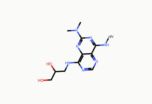 CCCNc1nc(N(C)C)nc2c(NCC(O)CO)ncnc12